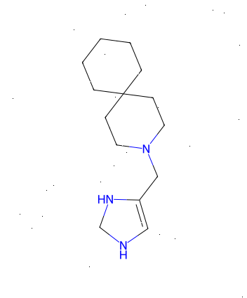 C1=C(CN2CCC3(CCCCC3)CC2)NCN1